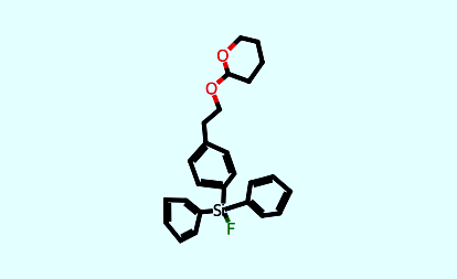 F[Si](c1ccccc1)(c1ccccc1)c1ccc(CCOC2CCCCO2)cc1